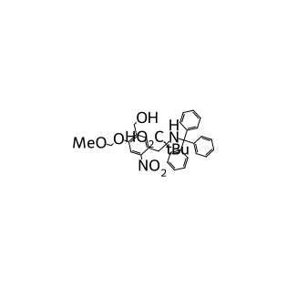 COCOc1cc([N+](=O)[O-])c(C[C@@](NC(c2ccccc2)(c2ccccc2)c2ccccc2)(C(=O)O)C(C)(C)C)cc1CO